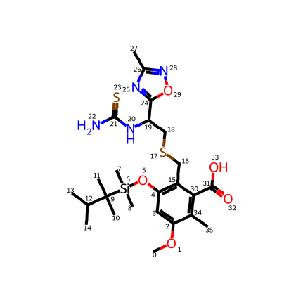 COc1cc(O[Si](C)(C)C(C)(C)C(C)C)c(CSCC(NC(N)=S)c2nc(C)no2)c(C(=O)O)c1C